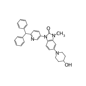 Cn1c(=O)n(-c2ccc(C(c3ccccc3)c3ccccc3)nc2)c2ccc(N3CCC(O)CC3)cc21